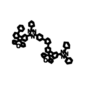 c1ccc(-c2nc(-c3ccccc3)nc(-c3ccc4c(c3)-c3cc(-c5cccc(-c6ccc(-c7nc(-c8ccccc8)nc(-c8ccc9c(c8)-c8c(-c%10ccccc%10)cccc8C98c9ccccc9Oc9ccccc98)n7)cc6)c5)ccc3C43c4ccccc4Oc4ccccc43)n2)cc1